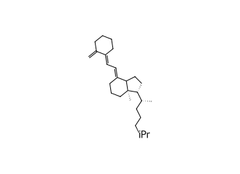 C=C1CCCC/C1=C\C=C1/CCC[C@@]2(C)C1CC[C@@H]2[C@H](C)CCCC(C)C